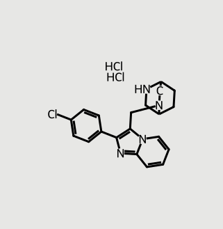 Cl.Cl.Clc1ccc(-c2nc3ccccn3c2CN2CC3CCC2CN3)cc1